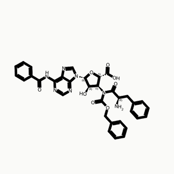 N[C@H](Cc1ccccc1)C(=O)N(C(=O)OCc1ccccc1)[C@H]1[C@@H](O)[C@H](n2cnc3c(NC(=O)c4ccccc4)ncnc32)O[C@@H]1C(=O)O